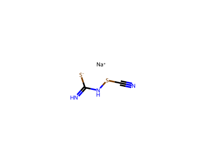 N#CSNC(=N)[S-].[Na+]